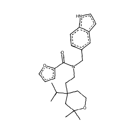 CC(C)C1(CCN(Cc2ccc3[nH]ccc3c2)C(=O)c2ccco2)CCOC(C)(C)C1